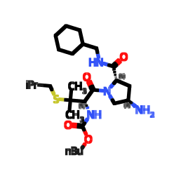 CCCCOC(=O)N[C@@H](C(=O)N1C[C@H](N)C[C@H]1C(=O)NCC1CCCCC1)C(C)(C)SCC(C)C